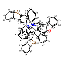 c1ccc(N(c2ccc3sc4ccccc4c3c2)c2cccc3c2C2(c4ccccc4-3)c3sc4ccccc4c3-c3cccc(N(c4ccccc4)c4ccc5oc6ccccc6c5c4)c32)cc1